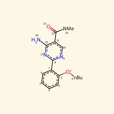 CCCCOc1ccccc1-c1ncc(C(=O)NC)c(N)n1